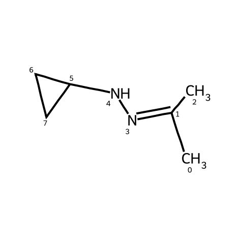 CC(C)=NNC1CC1